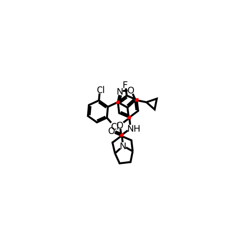 O=C(Nc1ccc(F)cc1)N1C2CCC1CC(OCc1c(-c3c(Cl)cccc3Cl)noc1C1CC1)C2